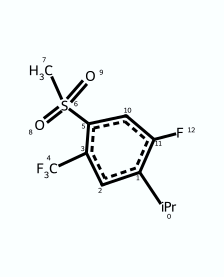 CC(C)c1cc(C(F)(F)F)c(S(C)(=O)=O)cc1F